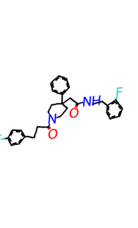 O=C(CC1(c2ccccc2)CCN(C(=O)CCc2ccc(F)cc2)CC1)NCCc1ccccc1F